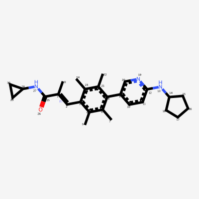 C/C(=C\c1c(C)c(C)c(-c2ccc(NC3CCCC3)nc2)c(C)c1C)C(=O)NC1CC1